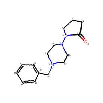 O=C1CCCN1N1CCN(Cc2ccccc2)CC1